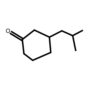 C[C](C)CC1CCCC(=O)C1